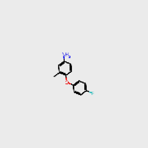 Cc1cc(N)ccc1Oc1ccc(F)cc1